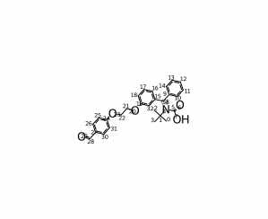 CC(C)(C)N(C(=O)O)[C@@H](c1ccccc1)c1cccc(OCCOc2ccc(C=O)cc2)c1